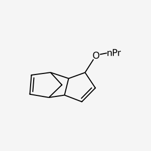 CCCOC1C=CC2C3C=CC(C3)C12